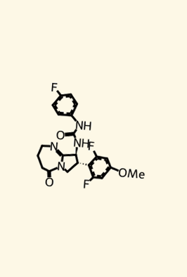 COc1cc(F)c([C@@H]2CN3C(=O)CCCN=C3[C@H]2NC(=O)Nc2ccc(F)cc2)c(F)c1